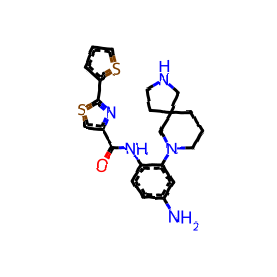 Nc1ccc(NC(=O)c2csc(-c3cccs3)n2)c(N2CCCC3(CCNC3)C2)c1